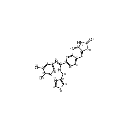 O=C1NC(=O)/C(=C\c2ccc(-c3nc4cc(Cl)c(Cl)cc4n3Cc3cscn3)cc2)S1